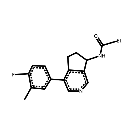 CCC(=O)NC1CCc2c(-c3ccc(F)c(C)c3)cncc21